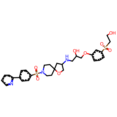 O=S(=O)(CCO)c1cccc(OCC(O)CNC2COC3(CCN(S(=O)(=O)c4ccc(-c5ccccn5)cc4)CC3)C2)c1